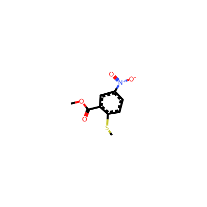 COC(=O)c1cc([N+](=O)[O-])ccc1SC